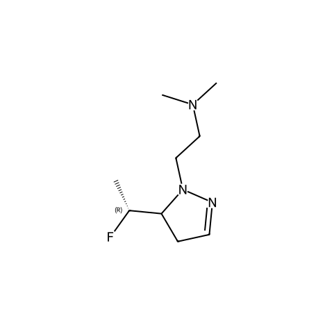 C[C@@H](F)C1CC=NN1CCN(C)C